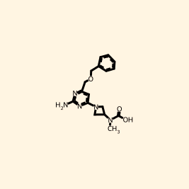 CN(C(=O)O)C1CN(c2cc(COCc3ccccc3)nc(N)n2)C1